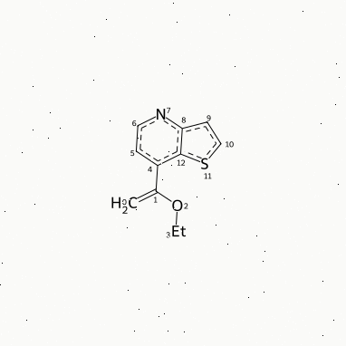 C=C(OCC)c1ccnc2ccsc12